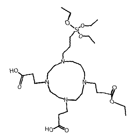 CCOC(=O)CCN1CCCN(CCC[Si](OCC)(OCC)OCC)CCN(CCC(=O)O)CCN(CCC(=O)O)CC1